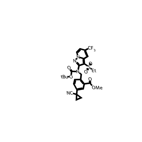 CCS(=O)(=O)c1c(N(Cc2ccc(C3(C#N)CC3)cc2C(=O)OC)C(=O)OC(C)(C)C)nn2ccc(C(F)(F)F)cc12